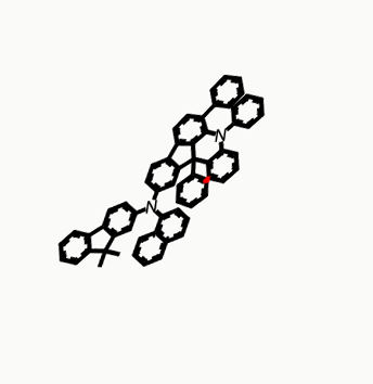 CC1(C)c2ccccc2-c2ccc(N(c3ccc4c(c3)C3(c5ccccc5)c5ccccc5N(c5ccccc5)c5c(-c6ccccc6)ccc-4c53)c3cccc4ccccc34)cc21